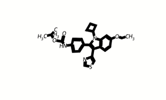 CCOc1ccc2c(-c3cscn3)c(-c3ccc(NC(=O)OC(C)C)cc3)n(C3CCC3)c2c1